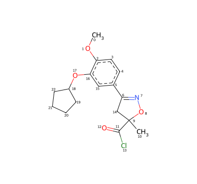 COc1ccc(C2=NOC(C)(C(=O)Cl)C2)cc1OC1CCCC1